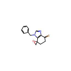 S=C1CCC2(CO2)c2c1ncn2Cc1ccccc1